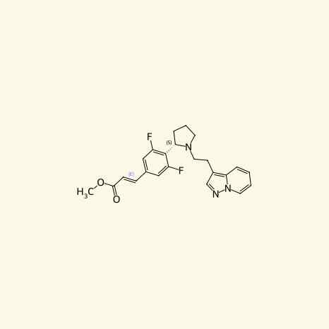 COC(=O)/C=C/c1cc(F)c([C@@H]2CCCN2CCc2cnn3ccccc23)c(F)c1